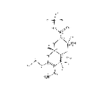 CCCC1=C(ON)C(C)(C)[C@@H]2CC(C)(O)N(C(=O)OC(C)(C)C)C[C@@]2(C)C1